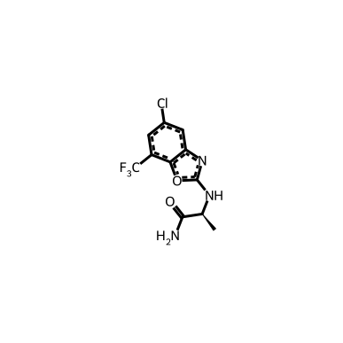 C[C@H](Nc1nc2cc(Cl)cc(C(F)(F)F)c2o1)C(N)=O